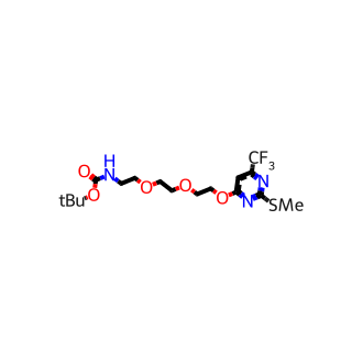 CSc1nc(OCCOCCOCCNC(=O)OC(C)(C)C)cc(C(F)(F)F)n1